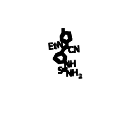 CCn1c(-c2cccc(NC(N)=S)c2)c(C#N)c2ccc(C)cc21